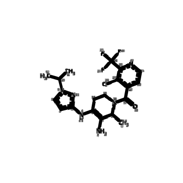 CC1C(N)=C(Nc2ccn(C(C)C)n2)CCN1C(=O)c1ccnc(C(F)(F)F)c1Cl